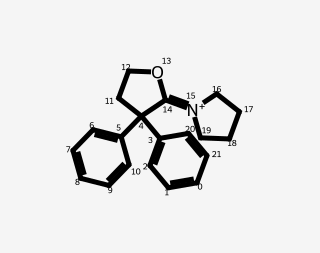 c1ccc(C2(c3ccccc3)CCOC2=[N+]2CCCC2)cc1